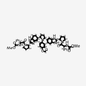 COC(=O)N[C@H](C(=O)N1CCC[C@H]1c1nc2cc([C@H]3CC[C@H](c4ccc5c(c4)NC([C@@H]4CCCN4C(=O)[C@@H](NC(=O)OC)C(C)C)N5)N3c3ccc4c(c3)OCO4)ccc2[nH]1)C(C)C